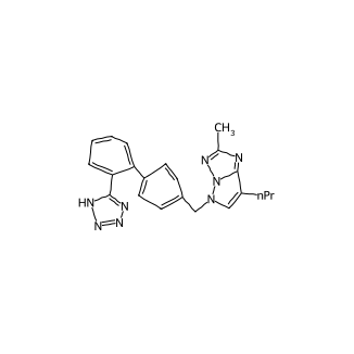 CCCc1cn(Cc2ccc(-c3ccccc3-c3nnn[nH]3)cc2)n2nc(C)nc12